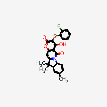 CC1=CC2C(C=C1)n1c(cc3oc(=O)c(Sc4ccccc4F)c(O)c3c1=O)C2(C)C